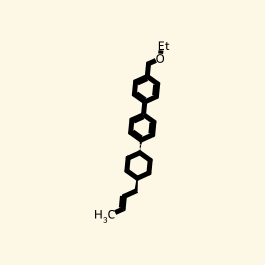 CC=CC[C@H]1CC[C@H](c2ccc(-c3ccc(COCC)cc3)cc2)CC1